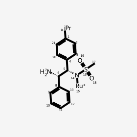 CC(C)c1ccc([C@@H]([C@@H](N)c2ccccc2)[N]([Ru+])S(C)(=O)=O)cc1